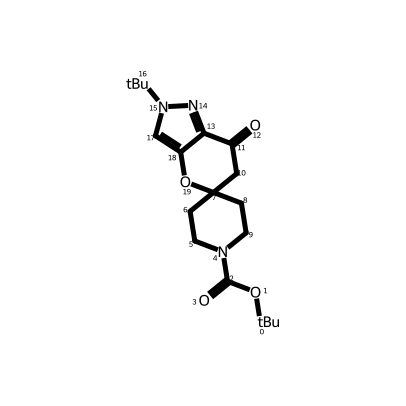 CC(C)(C)OC(=O)N1CCC2(CC1)CC(=O)c1nn(C(C)(C)C)cc1O2